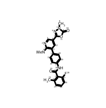 CNc1ncc(-c2nn(C)c(=O)o2)cc1-c1ccc(NC(=O)c2c(C)cccc2F)cc1